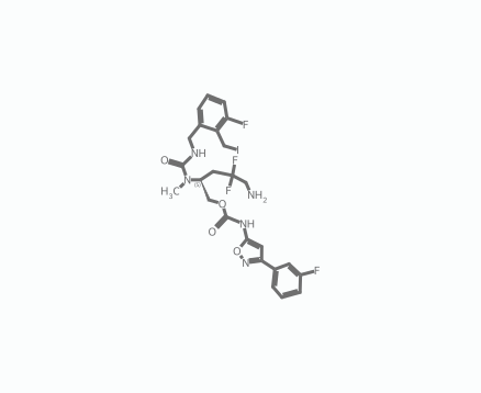 CN(C(=O)NCc1cccc(F)c1CI)[C@H](COC(=O)Nc1cc(-c2cccc(F)c2)no1)CC(F)(F)CN